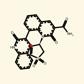 NC(=O)c1cc2cccc(-c3cc4ccccc4[nH]c3=O)c2n([C@@H]2C=CS(=O)(=O)C2)c1=O